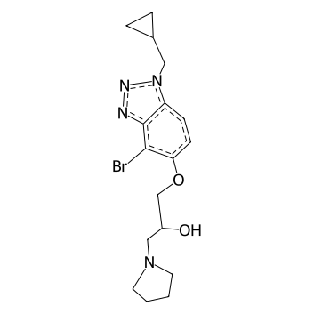 OC(COc1ccc2c(nnn2CC2CC2)c1Br)CN1CCCC1